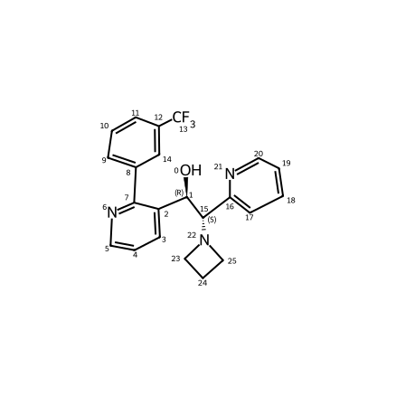 O[C@H](c1cccnc1-c1cccc(C(F)(F)F)c1)[C@H](c1ccccn1)N1CCC1